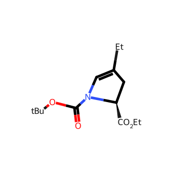 CCOC(=O)[C@@H]1CC(CC)=CN1C(=O)OC(C)(C)C